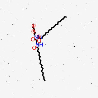 CCCCCCCCCCCCCCCCCC(=O)NCC(OC(=O)CCCCCCCCCCCCCCCCC)C(=O)NCCOCCOC